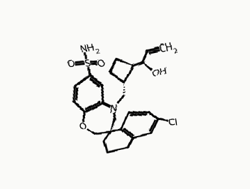 C=C[C@@H](O)[C@@H]1CC[C@H]1CN1C[C@@]2(CCCc3cc(Cl)ccc32)COc2ccc(S(N)(=O)=O)cc21